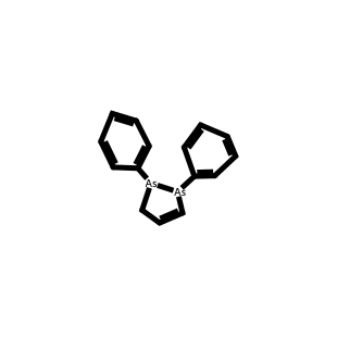 C1=C[As](c2ccccc2)[As](c2ccccc2)C1